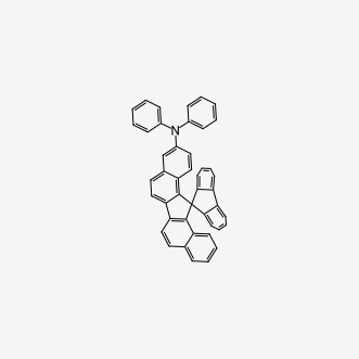 c1ccc(N(c2ccccc2)c2ccc3c4c(ccc3c2)-c2ccc3ccccc3c2C42c3ccccc3-c3ccccc32)cc1